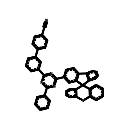 N#Cc1ccc(-c2cccc(-c3nc(-c4ccccc4)nc(-c4ccc5c(c4)C4(c6ccccc6Sc6ccccc64)c4ccccc4-5)n3)c2)cc1